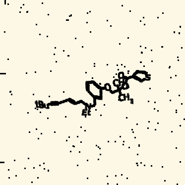 CCN(C/C=C/C#CC(C)(C)C)Cc1cccc(OCC(C)(C)OC(=O)c2ccsc2)c1